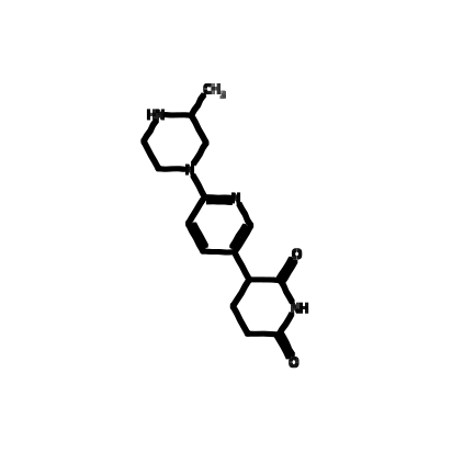 CC1CN(c2ccc(C3CCC(=O)NC3=O)cn2)CCN1